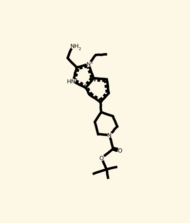 CC[n+]1c(CN)[nH]c2cc(C3CCN(C(=O)OC(C)(C)C)CC3)ccc21